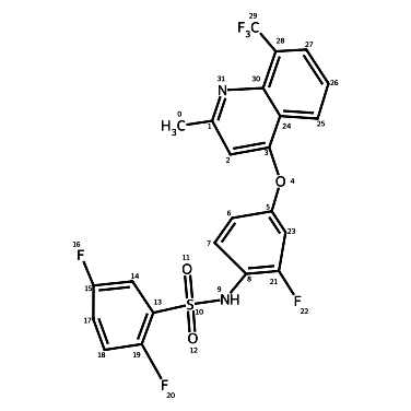 Cc1cc(Oc2ccc(NS(=O)(=O)c3cc(F)ccc3F)c(F)c2)c2cccc(C(F)(F)F)c2n1